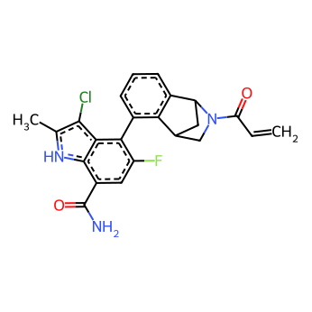 C=CC(=O)N1CC2CC1c1cccc(-c3c(F)cc(C(N)=O)c4[nH]c(C)c(Cl)c34)c12